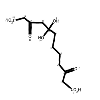 O=C(O)CC(=O)CCCCC(O)(O)CC(=O)CC(=O)O